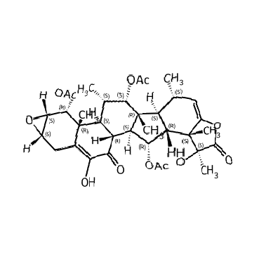 CC(=O)O[C@@H]1[C@H]2[C@@H]3C(=O)C(O)=C4C[C@@H]5O[C@@H]5[C@H](OC(C)=O)[C@]4(C)[C@H]3[C@H](C)[C@H](OC(C)=O)[C@]2(C)[C@@H]2[C@@H]1[C@]1(C)C(=C[C@H]2C)OC(=O)[C@@]1(C)O